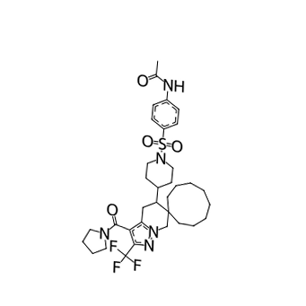 CC(=O)Nc1ccc(S(=O)(=O)N2CCC(C3Cc4c(C(=O)N5CCCC5)c(C(F)(F)F)nn4CC34CCCCCCCC4)CC2)cc1